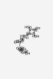 O=C(O)CC[C@H](NC(=O)N[C@@H](CCCCNC(=O)[C@H](Cc1ccc2ccccc2c1)NC(=O)c1ccc(CNC(=O)CN2CCN(CC(=O)O)CCN(CC(=O)O)CCN(CC(=O)O)CC2)nc1)C(=O)O)C(=O)O